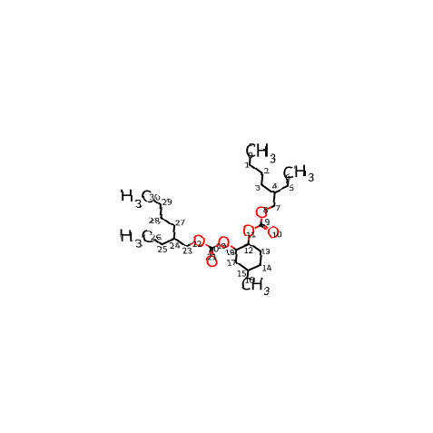 CCCCC(CC)COC(=O)OC1CCC(C)CC1OC(=O)OCC(CC)CCCC